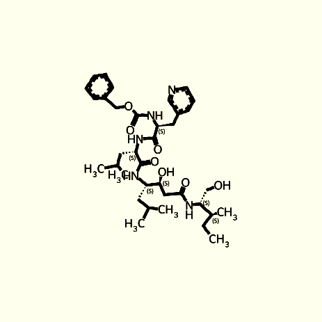 CC[C@H](C)[C@@H](CO)NC(=O)C[C@H](O)[C@H](CC(C)C)NC(=O)[C@H](CC(C)C)NC(=O)[C@H](Cc1cccnc1)NC(=O)OCc1ccccc1